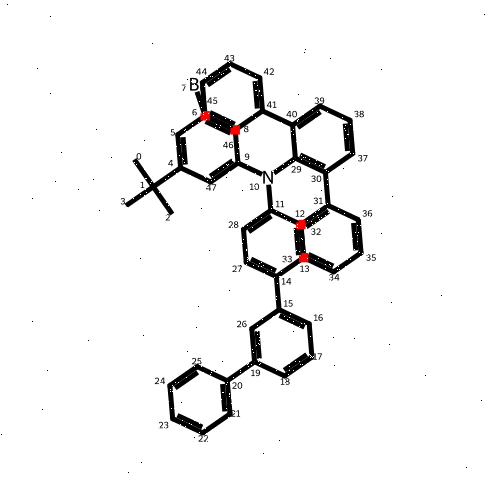 CC(C)(C)c1cc(Br)cc(N(c2ccc(-c3cccc(-c4ccccc4)c3)cc2)c2c(-c3ccccc3)cccc2-c2ccccc2)c1